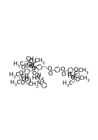 C=CC(=O)OC(C)(C)CC(C)(C)Oc1ccc(C(=O)Oc2ccc(C(=O)OCCc3ccc(OC(=O)c4ccc(OC(C)(C)CC(C)(C)OC(=O)C=C)c(OC(C)(C)CC(C)(C)OC(=O)C=C)c4)c(/C=N/Nc4nc5ccccc5s4)c3)cc2)cc1